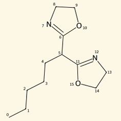 CCCCCC(C1=NCCO1)C1=NCCO1